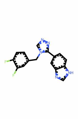 Fc1ccc(Cn2cnnc2-c2ccc3[nH]cnc3c2)cc1F